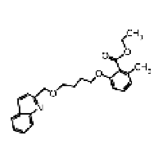 CCOC(=O)c1c(C)cccc1OCCCCOCc1ccc2ccccc2n1